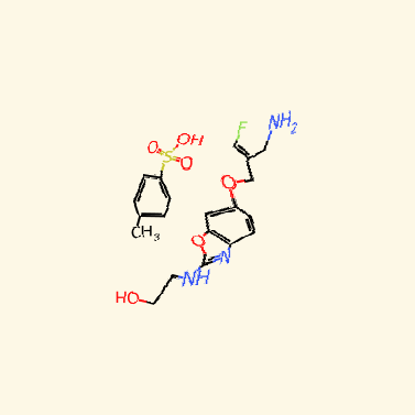 Cc1ccc(S(=O)(=O)O)cc1.NCC(=CF)COc1ccc2nc(NCCO)oc2c1